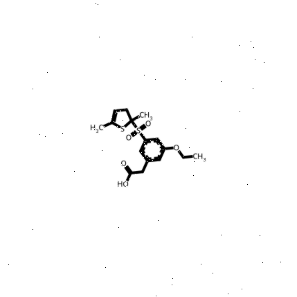 CCOc1cc(CC(=O)O)cc(S(=O)(=O)C2(C)CC=C(C)S2)c1